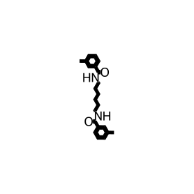 Cc1cccc(C(=O)NCCCCCCNC(=O)c2cccc(C)c2)c1